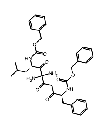 CC(C)C[C@H](NC(=O)OCc1ccccc1)C(=O)C(N)(N)C(=O)CC(=O)[C@H](Cc1ccccc1)NC(=O)OCc1ccccc1